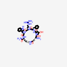 N=C(N)NCCC[C@@H]1NC(=O)[C@@H](Cc2ccccc2)NC(=O)[C@@H]2C[C@@H](O)CN2[C@@H](O)[C@@H](N)CCC(=O)NCCCC[C@@H](C(N)=O)NC(=O)[C@H](Cc2c[nH]c3ccccc23)NC1=O